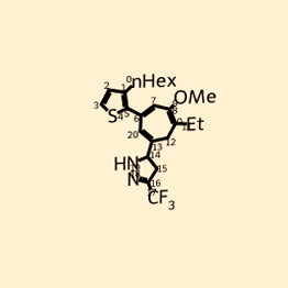 CCCCCCc1ccsc1C1=CC(OC)=C(CC)CC(C2CC(C(F)(F)F)=NN2)=C1